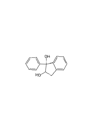 OC1Cc2ccccc2C1(O)c1ccccc1